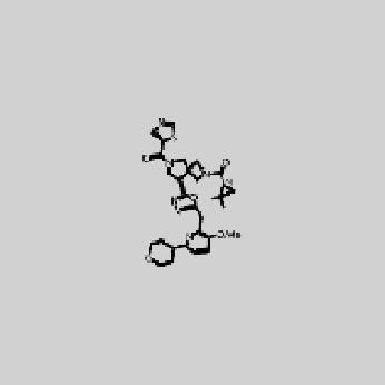 COc1ccc(C2CCOCC2)nc1Cc1nnc(C2CN(C(=O)c3cncs3)CC23CN(C(=O)[C@H]2CC2(C)C)C3)o1